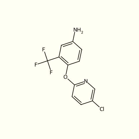 Nc1ccc(Oc2ccc(Cl)cn2)c(C(F)(F)F)c1